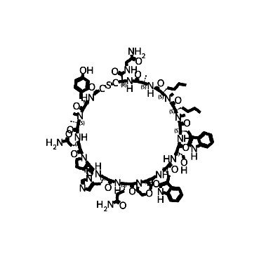 CCCC[C@H]1C(=O)N(C)[C@@H](CCCC)C(=O)N[C@@H](C)C(=O)N[C@H](C(=O)NCC(N)=O)CSCC(=O)N[C@@H](Cc2ccc(O)cc2)C(=O)N(C)[C@@H](C)C(=O)N[C@@H](CC(N)=O)C(=O)N2CCC[C@H]2C(=O)N[C@@H](Cc2cnc[nH]2)C(=O)N[C@@H](CCC(N)=O)C(=O)N2CCOC[C@H]2C(=O)N[C@@H](Cc2c[nH]c3ccccc23)C(=O)N[C@@H](CO)C(=O)N[C@@H](Cc2c[nH]c3ccccc23)C(=O)N1C